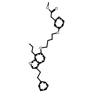 CCCc1c(OCCCCOc2cccc(CC(=O)OC)c2)ccc2c(CCc3ccccc3)coc12